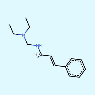 CCN(CC)CN[SiH2]C=Cc1ccccc1